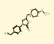 NCc1ccc(N2CC(CN3CCC(OC(=O)O)CC3)OC2=O)cc1